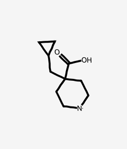 O=C(O)C1(CC2CC2)CC[N]CC1